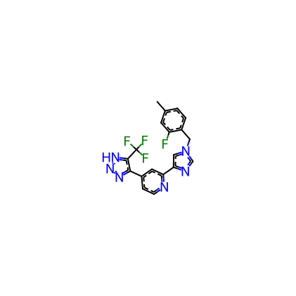 Cc1ccc(Cn2cnc(-c3cc(-c4nn[nH]c4C(F)(F)F)ccn3)c2)c(F)c1